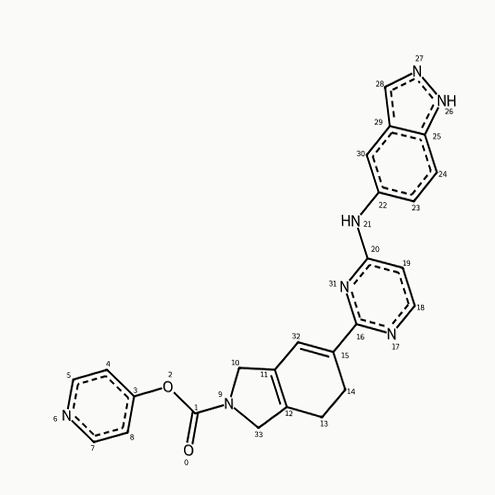 O=C(Oc1ccncc1)N1CC2=C(CCC(c3nccc(Nc4ccc5[nH]ncc5c4)n3)=C2)C1